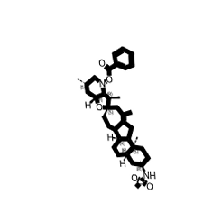 CC1=C2CC3[C@@H](CC[C@@H]4C[C@H](NS(C)(=O)=O)CC[C@]34C)C2CC[C@@]2(C1)O[C@@H]1C[C@H](C)CN(OC(=O)c3ccccc3)C1[C@H]2C